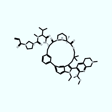 C=CC(=O)N1CC[C@H](C(=O)N(C)C(C(=O)N[C@H]2Cc3cccc(c3)-c3ccc4c(c3)c(c(-c3cc5c(nc3[C@H](C)OC)CN(C)CC5)n4CC)CC(C)(C)COC(=O)[C@@H]3CCCN(N3)C2=O)C(C)C)C1